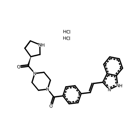 Cl.Cl.O=C(c1ccc(/C=C/c2n[nH]c3ccccc23)cc1)N1CCN(C(=O)[C@H]2CCNC2)CC1